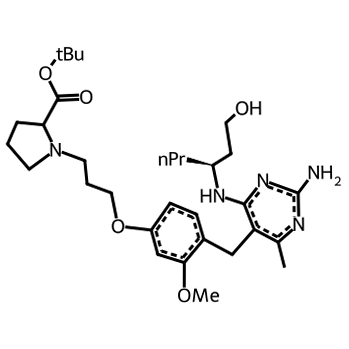 CCC[C@@H](CCO)Nc1nc(N)nc(C)c1Cc1ccc(OCCCN2CCCC2C(=O)OC(C)(C)C)cc1OC